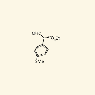 CCOC(=O)C(C=O)c1ccc(SC)cc1